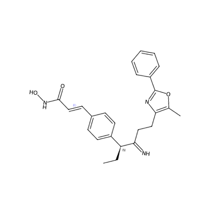 CC[C@H](C(=N)CCc1nc(-c2ccccc2)oc1C)c1ccc(/C=C/C(=O)NO)cc1